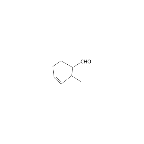 CC1C=CCCC1C=O